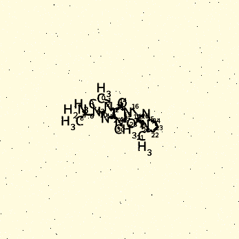 CCn1c(N(C)CC(C)N)nc2c1c(=O)n(Cc1cn3c(C)cccc3n1)c(=O)n2C